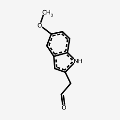 COc1ccc2[nH]c(CC=O)cc2c1